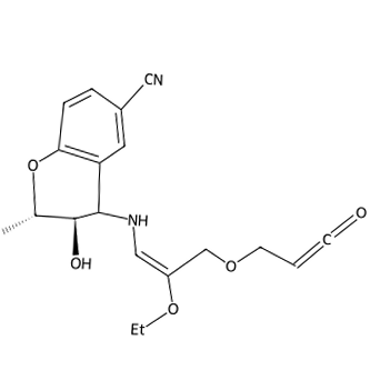 CCO/C(=C/NC1c2cc(C#N)ccc2O[C@@H](C)[C@@H]1O)COCC=C=O